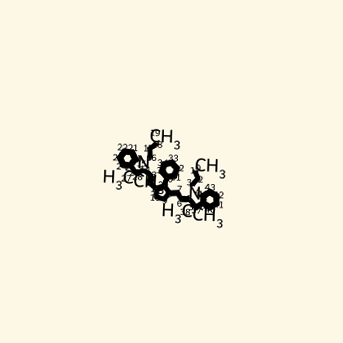 CCCCN1C(=CC=C2CCC(C=CC3N(CCCC)c4ccccc4C3(C)C)=C2c2ccccc2)C(C)(C)c2ccccc21